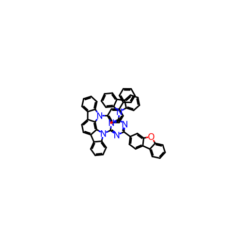 c1ccc(-c2cccc(-n3c4ccccc4c4ccc5c6ccccc6n(-c6nc(-c7ccc8c(c7)oc7ccccc78)nc(-n7c8ccccc8c8ccccc87)n6)c5c43)c2)cc1